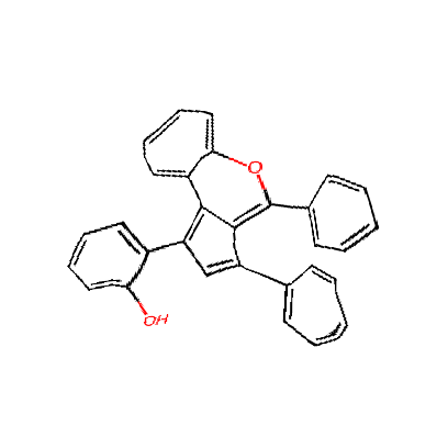 Oc1ccccc1-c1cc(-c2ccccc2)c2c(-c3ccccc3)oc3ccccc3c1-2